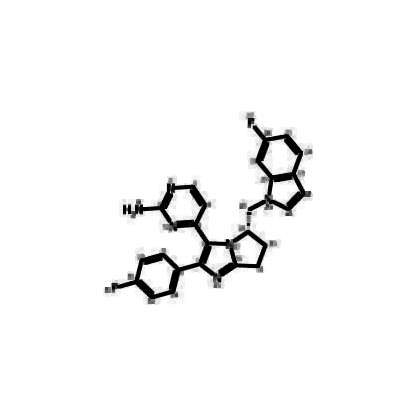 Nc1nccc(-c2c(-c3ccc(F)cc3)nc3n2[C@H](Cn2ccc4ccc(F)cc42)CC3)n1